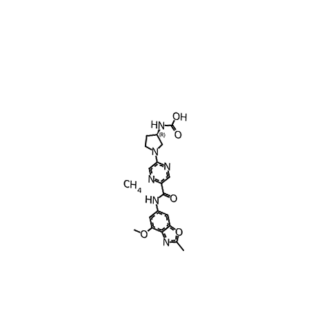 C.COc1cc(NC(=O)c2cnc(N3CC[C@@H](NC(=O)O)C3)cn2)cc2oc(C)nc12